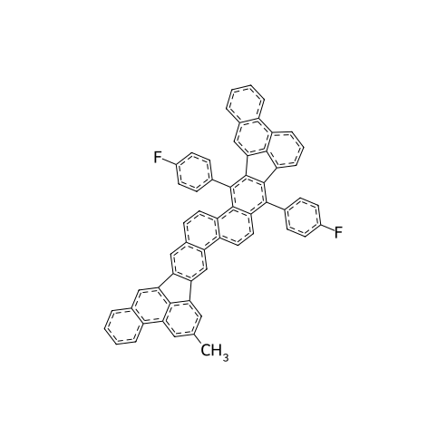 Cc1cc2c3c(cc4ccccc4c3c1)-c1cc3ccc4c(ccc5c(-c6ccc(F)cc6)c6c(c(-c7ccc(F)cc7)c54)-c4cc5ccccc5c5cccc-6c45)c3cc1-2